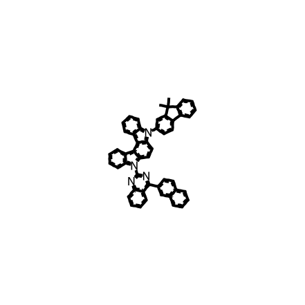 CC1(C)c2ccccc2-c2ccc(-n3c4ccccc4c4c5c6ccccc6n(-c6nc(-c7ccc8ccccc8c7)c7ccccc7n6)c5ccc43)cc21